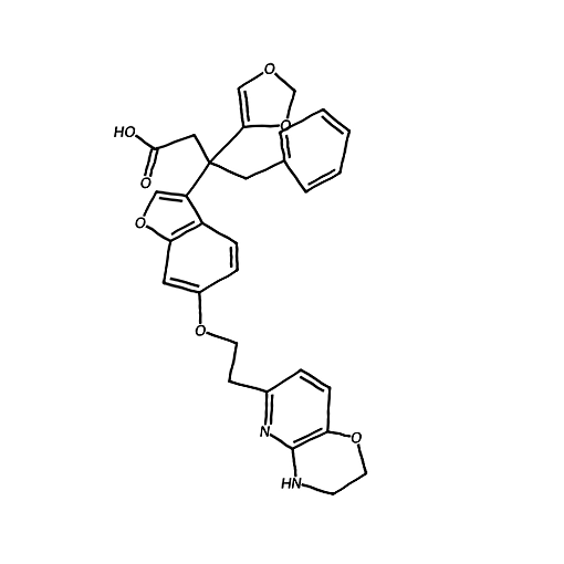 O=C(O)CC(Cc1ccccc1)(C1=COCO1)c1coc2cc(OCCc3ccc4c(n3)NCCO4)ccc12